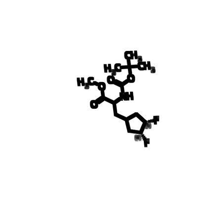 COC(=O)C(CC1C[C@@H](F)[C@@H](F)C1)NC(=O)OC(C)(C)C